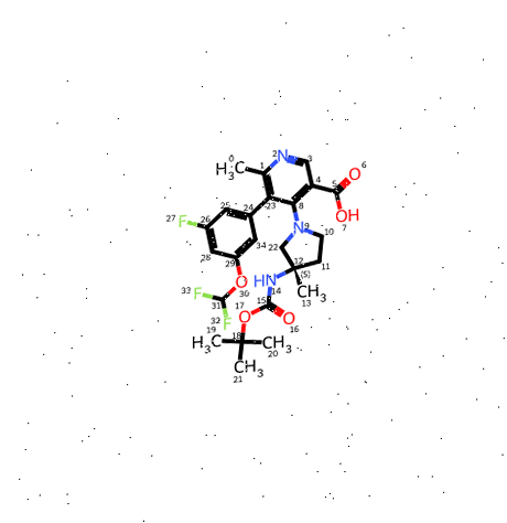 Cc1ncc(C(=O)O)c(N2CC[C@](C)(NC(=O)OC(C)(C)C)C2)c1-c1cc(F)cc(OC(F)F)c1